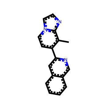 Cc1c(-c2cc3ccccc3cn2)ccn2c[c]nc12